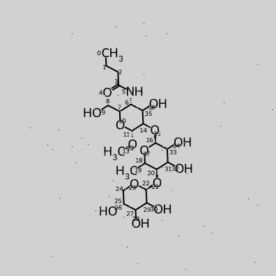 CCCC(=O)N[C@H]1C(CO)O[C@@H](OC)C(O[C@@H]2OC(C)[C@H](O[C@@H]3OC[C@@H](O)C(O)C3O)C(O)C2O)C1O